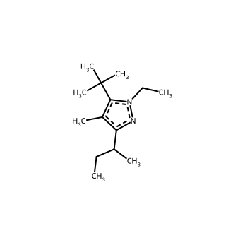 CCC(C)c1nn(CC)c(C(C)(C)C)c1C